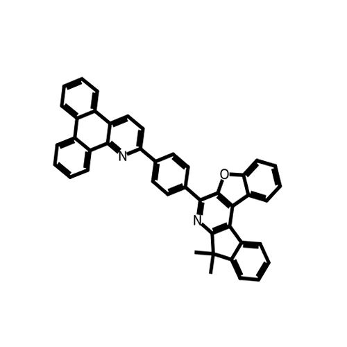 CC1(C)c2ccccc2-c2c1nc(-c1ccc(-c3ccc4c5ccccc5c5ccccc5c4n3)cc1)c1oc3ccccc3c21